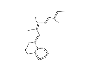 C/C=C(C)/C=C/C(F)=C(C)\C=C1/CCCc2ccccc21